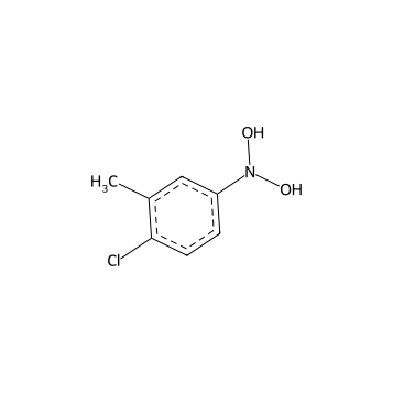 Cc1cc(N(O)O)ccc1Cl